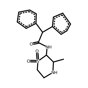 CC1NCCS(=O)(=O)C1NC(=O)C(c1ccccc1)c1ccccc1